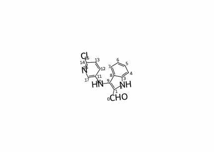 O=Cc1[nH]c2ccccc2c1Nc1ccc(Cl)nc1